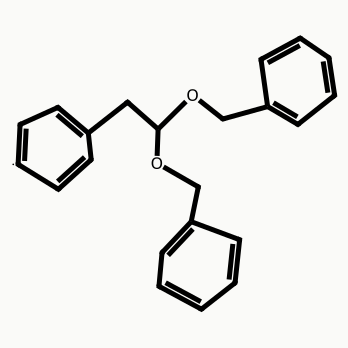 [c]1ccc(CC(OCc2ccccc2)OCc2ccccc2)cc1